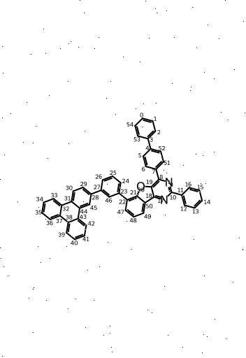 c1ccc(-c2ccc(-c3nc(-c4ccccc4)nc4c3oc3c(-c5cccc(-c6ccc7c8ccccc8c8ccccc8c7c6)c5)cccc34)cc2)cc1